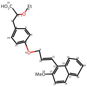 CCOC(Cc1ccc(OCC=Cc2c(OC)ccc3ccccc23)cc1)C(=O)O